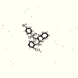 Cc1ccccc1Nc1nc2ccccc2nc1NS(=O)(=O)c1ccc(Br)cc1